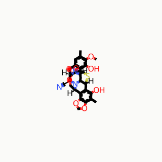 COc1c(C)cc2c(c1O)[C@@H]1C3[C@@H]4SCC(=O)C(=O)OC[C@@H](c5c6c(c(C)c(O)c54)OCO6)N3[C@@H](C#N)[C@@H](C2)N1C